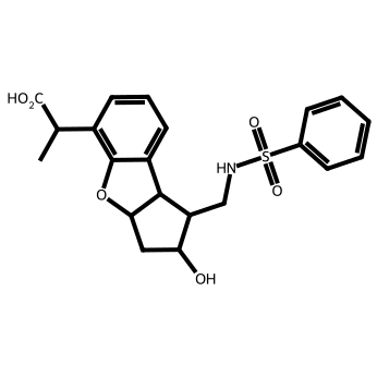 CC(C(=O)O)c1cccc2c1OC1CC(O)C(CNS(=O)(=O)c3ccccc3)C21